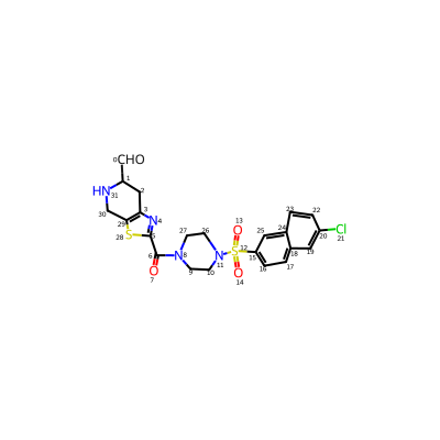 O=CC1Cc2nc(C(=O)N3CCN(S(=O)(=O)c4ccc5cc(Cl)ccc5c4)CC3)sc2CN1